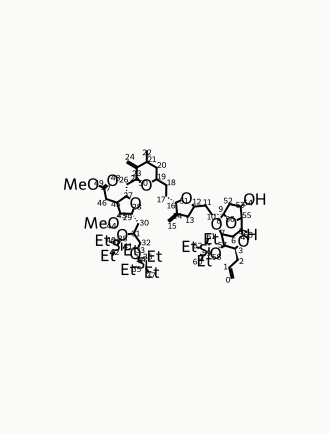 C=CC[C@@H]1O[C@@H]2CC(O[C@@]3(CCC4CC(=C)[C@H](CCC5CC(C)C(=C)C(C[C@@H]6O[C@H](CC(CO[Si](CC)(CC)CC)O[Si](CC)(CC)CC)[C@H](OC)C6CC(=O)OC)O5)O4)C[C@@H](O)C2O3)C1O[Si](CC)(CC)CC